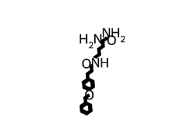 NC(=O)[C@@H](N)CCCCNC(=O)CCc1ccc(OCc2ccccc2)cc1